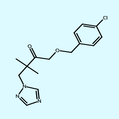 CC(C)(Cn1cncn1)C(=O)COCc1ccc(Cl)cc1